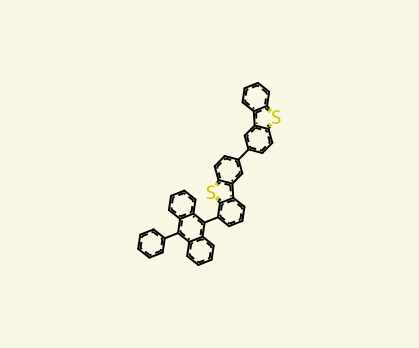 c1ccc(-c2c3ccccc3c(-c3cccc4c3sc3ccc(-c5ccc6sc7ccccc7c6c5)cc34)c3ccccc23)cc1